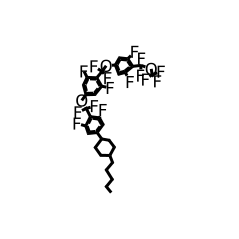 CCCCCC1CCC(c2cc(F)c(C(F)(F)Oc3cc(F)c(C(F)(F)Oc4cc(F)c(C(F)(F)OC(F)(F)F)c(F)c4)c(F)c3)c(F)c2)CC1